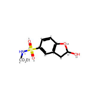 CCOC(=O)NS(=O)(=O)c1ccc2c(c1)CC(O)O2